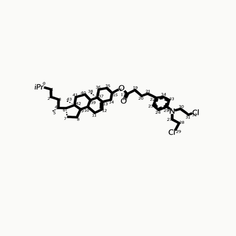 CC(C)CCC[C@@H](C)[C@H]1CCC2C3CC=C4CC(OC(=O)CCCc5ccc(N(CCCl)CCCl)cc5)CC[C@]4(C)C3CC[C@@]21C